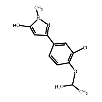 CC(C)Oc1ccc(-c2cc(O)n(C)n2)cc1Cl